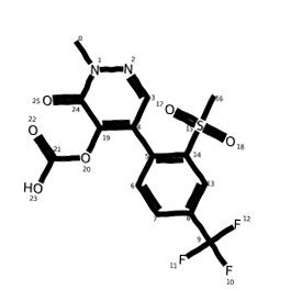 Cn1ncc(-c2ccc(C(F)(F)F)cc2S(C)(=O)=O)c(OC(=O)O)c1=O